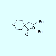 CC(C)(C)CCC1(C(=O)OC(C)(C)C)CCOCC1